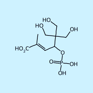 CC(=CC(OP(=O)(O)O)C(CO)(CO)CO)C(=O)O